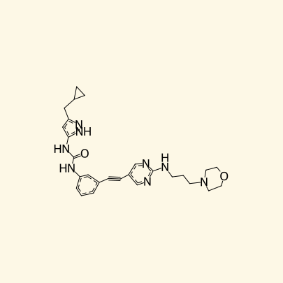 O=C(Nc1cccc(C#Cc2cnc(NCCCN3CCOCC3)nc2)c1)Nc1cc(CC2CC2)n[nH]1